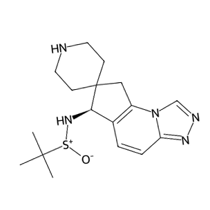 CC(C)(C)[S+]([O-])N[C@@H]1c2ccc3nncn3c2CC12CCNCC2